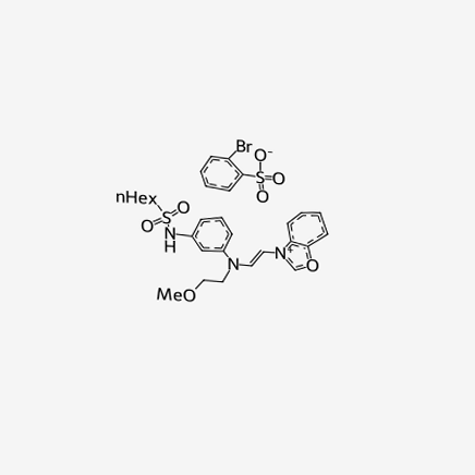 CCCCCCS(=O)(=O)Nc1cccc(N(C=C[n+]2coc3ccccc32)CCOC)c1.O=S(=O)([O-])c1ccccc1Br